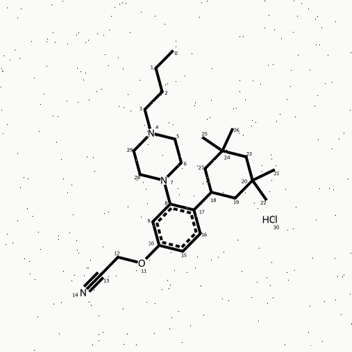 CCCCN1CCN(c2cc(OCC#N)ccc2C2CC(C)(C)CC(C)(C)C2)CC1.Cl